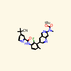 Cc1ccc(NC(=O)c2cc(C(C)(C)C#N)ccn2)c(F)c1-c1cnc2cc(N(C)C(=O)OC(C)(C)C)ncc2c1